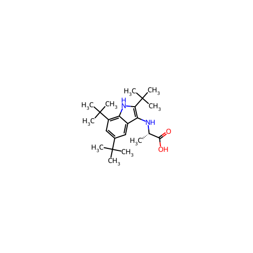 C[C@H](Nc1c(C(C)(C)C)[nH]c2c(C(C)(C)C)cc(C(C)(C)C)cc12)C(=O)O